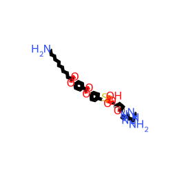 NCCCCCCCCCCC(=O)Oc1ccc(C(=O)Oc2ccc(CSP(=O)(O)OC[C@@H]3CC[C@H](n4cnc5c(N)ncnc54)O3)cc2)cc1